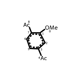 COc1cc(C(C)=O)ccc1C(C)=O